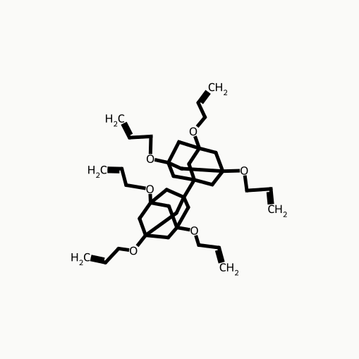 C=CCOC12CC3(OCC=C)CC(OCC=C)(C1)CC(C14CC5(OCC=C)CC(OCC=C)(CC(OCC=C)(C5)C1)C4)(C2)C3